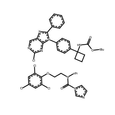 CC(C)(C)OC(=O)NC1(c2ccc(-n3c(-c4ccccc4)nc4cnc(Cl)nc43)cc2)CCC1.CCCN(CCOc1c(Cl)cc(Cl)cc1Cl)C(=O)n1ccnc1